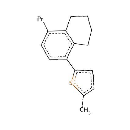 Cc1ccc(-c2ccc(C(C)C)c3c2CCCC3)s1